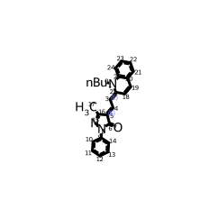 CCCCN1/C(=C/C=C2/C(=O)N(c3ccccc3)N=C2C)C=Cc2ccccc21